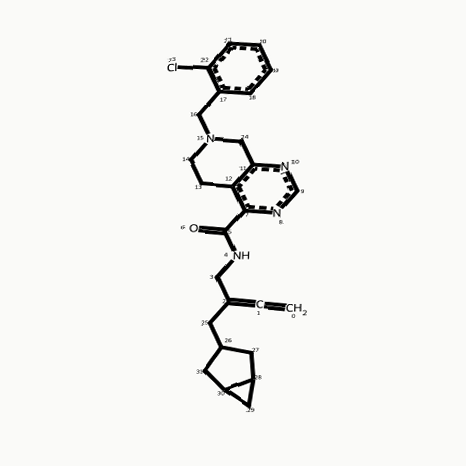 C=C=C(CNC(=O)c1ncnc2c1CCN(Cc1ccccc1Cl)C2)CC1CC2CC2C1